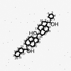 OC(c1ccccc1)c1ccc2ccc3c(C(O)c4ccc5ccc6c(C(O)c7ccc8ccccc8c7)ccc7ccc4c5c76)ccc4ccc1c2c43